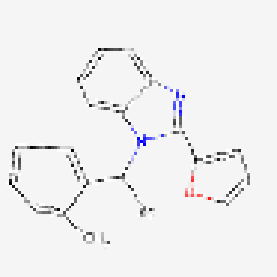 CC(=O)C(c1ccccc1C)n1c(-c2ccco2)nc2ccccc21